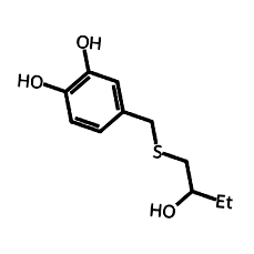 CCC(O)CSCc1ccc(O)c(O)c1